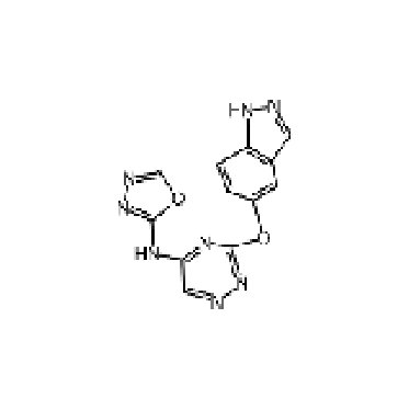 c1nnc(Nc2cnnc(Oc3ccc4[nH]ncc4c3)n2)o1